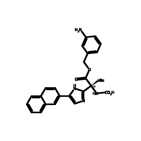 CCCC[C@@](NC(=O)O)(C(=O)OCc1cccc(N)c1)c1ncc(-c2ccc3ccccc3c2)[nH]1